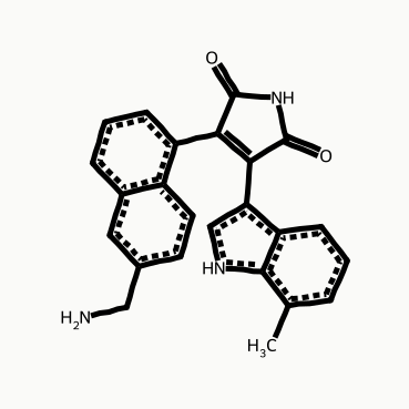 Cc1cccc2c(C3=C(c4cccc5cc(CN)ccc45)C(=O)NC3=O)c[nH]c12